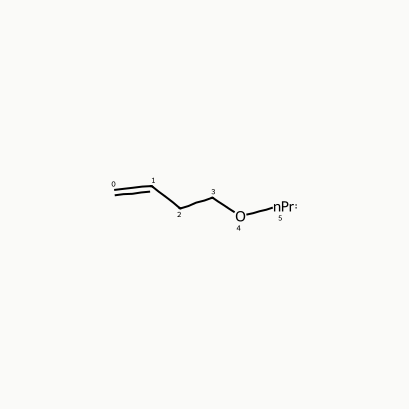 C=CCCO[C]CC